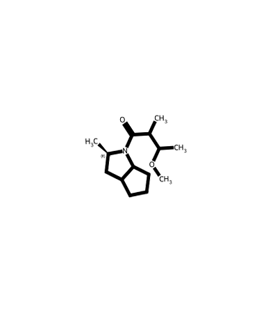 COC(C)C(C)C(=O)N1C2CCCC2C[C@H]1C